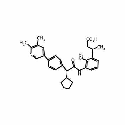 Cc1cc(-c2ccc([C@H](C(=O)Nc3cccc([C@H](C)CC(=O)O)c3C)C3CCCC3)cc2)cnc1C